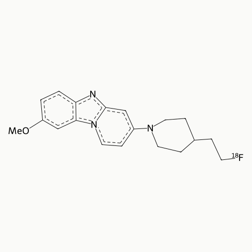 COc1ccc2nc3cc(N4CCC(CC[18F])CC4)ccn3c2c1